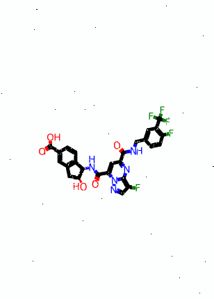 O=C(O)c1ccc2c(c1)C[C@H](O)[C@@H]2NC(=O)c1cc(C(=O)NCc2ccc(F)c(C(F)(F)F)c2)nc2c(F)cnn12